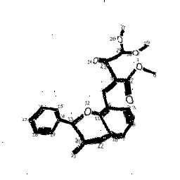 COC(=O)C(=Cc1cccc2c1OC(c1ccccc1)C(C)C2)C(=O)C(OC)OC